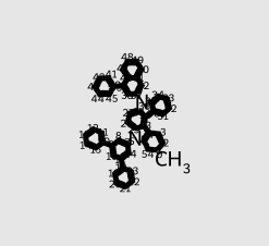 CC1C=Cc2c(n(-c3cc(-c4ccccc4)cc(-c4ccccc4)c3)c3ccc4c(c5ccccc5n4-c4cc(-c5ccccc5)c5ccccc5c4)c23)C1